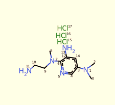 CN(C)c1cnc(N(C)CCN)c(N)c1.Cl.Cl.Cl